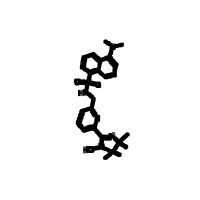 CN(C)c1cccc2c(S(=O)(=O)NCc3cccc(C4=NC(C)(C)C(C)(C)N4O)n3)cccc12